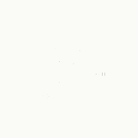 C=CCOC(=O)C(CCCCCCCCCC)S(=O)(=O)O